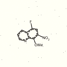 COc1c([N+](=O)[O-])cc(F)c2cccnc12